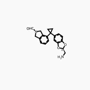 NC[C@@H]1Oc2ccc(C3(c4cccc5c4CN(C=O)C5)CC3)cc2O1